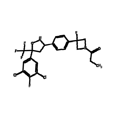 CCC(=O)N1CC(F)(c2ccc(C3CC(c4cc(Cl)c(F)c(Cl)c4)(C(F)(F)F)ON3)cc2)C1